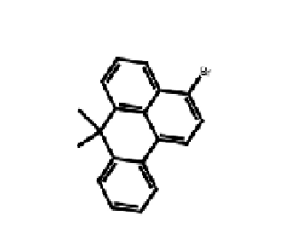 CC1(C)c2ccccc2-c2ccc(Br)c3cccc1c23